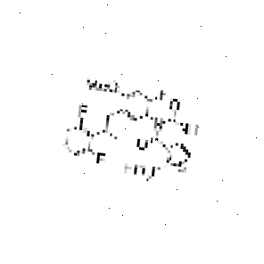 COc1cc(F)c(-n2c(=O)[nH]c3csc(C(=O)O)c3c2=O)cc1CC(C)c1c(F)cccc1F